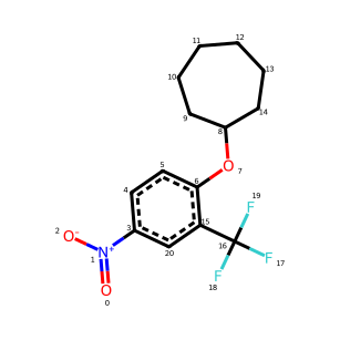 O=[N+]([O-])c1ccc(OC2CCCCCC2)c(C(F)(F)F)c1